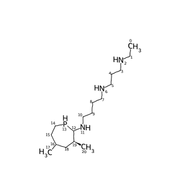 CCNCCCNCCCCNC1PCCC(C)C[C@@H]1C